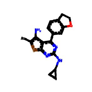 CC(=O)c1sc2nc(NC3CC3)nc(-c3ccc4c(c3)OCC4)c2c1N